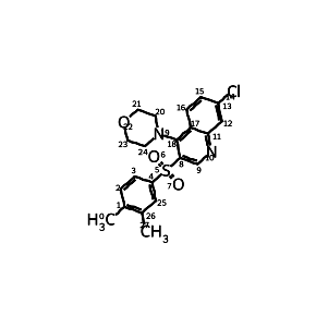 Cc1ccc(S(=O)(=O)c2cnc3cc(Cl)ccc3c2N2CCOCC2)cc1C